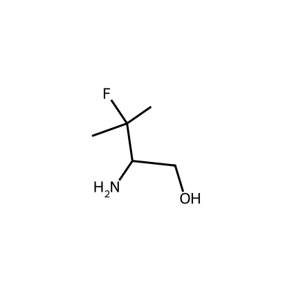 CC(C)(F)C(N)CO